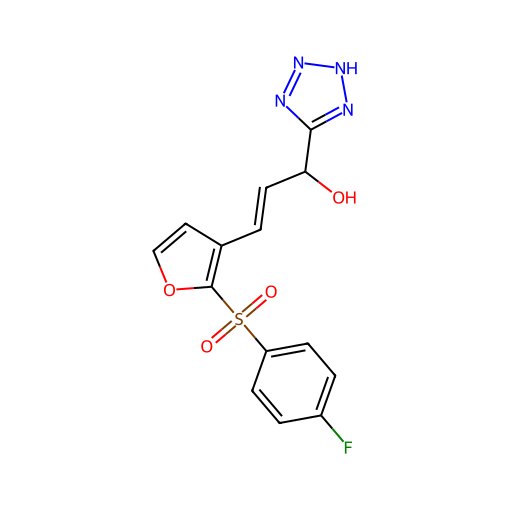 O=S(=O)(c1ccc(F)cc1)c1occc1C=CC(O)c1nn[nH]n1